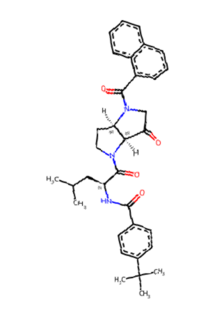 CC(C)C[C@H](NC(=O)c1ccc(C(C)(C)C)cc1)C(=O)N1CC[C@@H]2[C@H]1C(=O)CN2C(=O)c1cccc2ccccc12